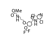 COC(=O)CNCCCOc1cc(C(=O)Nc2c(Cl)cncc2Cl)ccc1OC(F)F